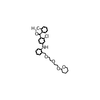 Cc1ccccc1C(=O)c1ccc(Nc2ccccc2COCCOCCOC2CCCCO2)cc1Cl